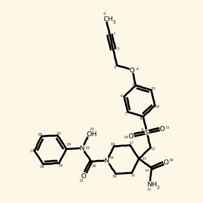 CC#CCOc1ccc(S(=O)(=O)CC2(C(N)=O)CCN(C(=O)N(O)c3ccccc3)CC2)cc1